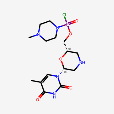 Cc1cn([C@H]2CNC[C@@H](COP(=O)(Cl)N3CCN(C)CC3)O2)c(=O)[nH]c1=O